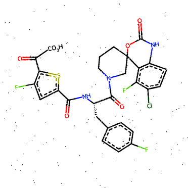 O=C1Nc2ccc(Cl)c(F)c2C2(CCCN(C(=O)[C@H](Cc3ccc(F)cc3)NC(=O)c3cc(F)c(C(=O)C(=O)O)s3)C2)O1